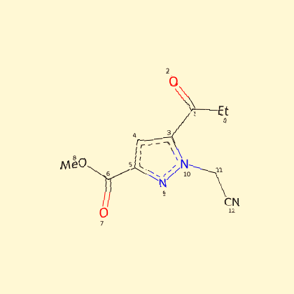 CCC(=O)c1cc(C(=O)OC)nn1CC#N